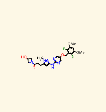 COc1cc(OC)c(F)c(COc2cnc(Nc3cc(CCC(=O)N4CC(O)C4)n(C)n3)nc2)c1F